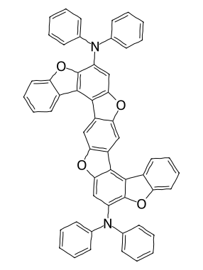 c1ccc(N(c2ccccc2)c2cc3oc4cc5c(cc4c3c3c2oc2ccccc23)oc2cc(N(c3ccccc3)c3ccccc3)c3oc4ccccc4c3c25)cc1